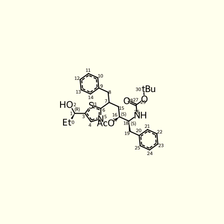 CC[C@@H](O)c1cnc(C(Cc2ccccc2)C[C@H](OC(C)=O)[C@H](Cc2ccccc2)NC(=O)OC(C)(C)C)s1